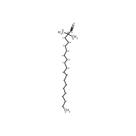 CCCCCCCCCCCCCCCCCCC(C)(C)C#N